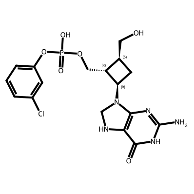 Nc1nc2c(c(=O)[nH]1)NCN2[C@@H]1C[C@H](CO)[C@H]1COP(=O)(O)Oc1cccc(Cl)c1